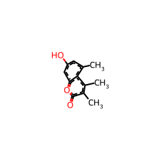 Cc1c(C)c2c(C)cc(O)cc2oc1=O